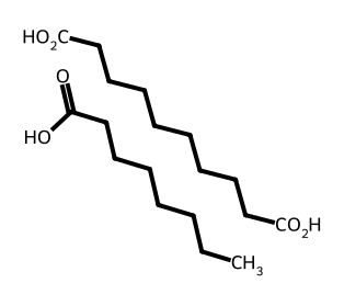 CCCCCCCC(=O)O.O=C(O)CCCCCCCCC(=O)O